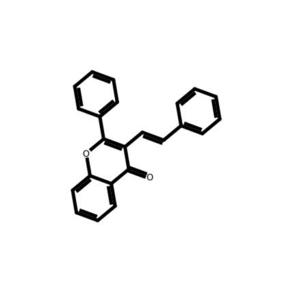 O=c1c(C=Cc2ccccc2)c(-c2ccccc2)oc2ccccc12